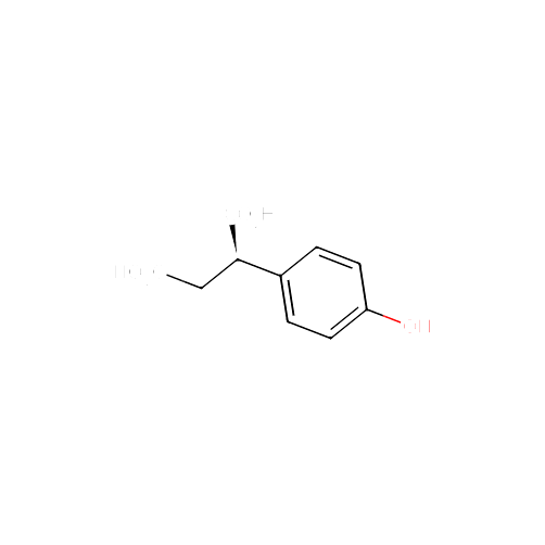 O=C(O)C[C@@H](C(=O)O)c1ccc(O)cc1